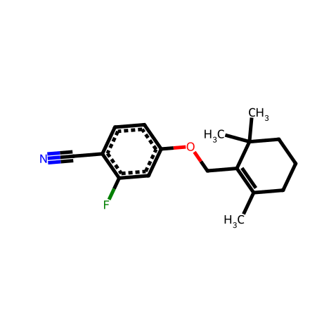 CC1=C(COc2ccc(C#N)c(F)c2)C(C)(C)CCC1